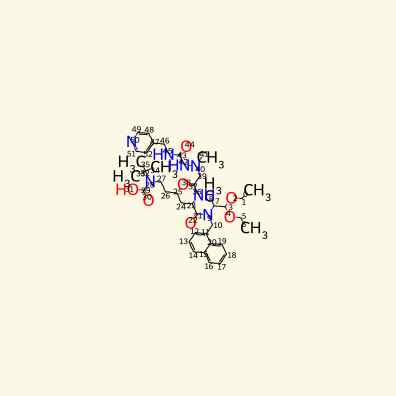 CCOC(OCC)C(C)N(Cc1cccc2ccccc12)C(=O)C(CCCCN(C(=O)O)C(C)(C)C)NC(=O)CN(C)NC(=O)NCc1ccncc1